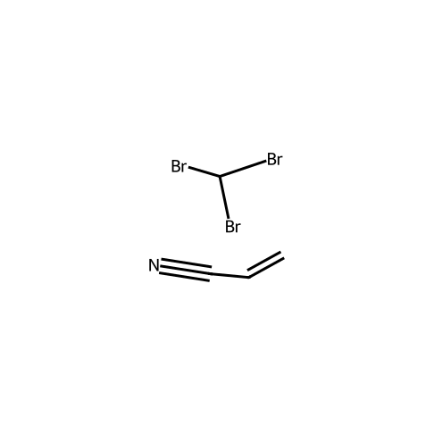 BrC(Br)Br.C=CC#N